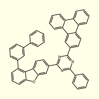 c1ccc(-c2cccc(-c3cccc4oc5cc(-c6nc(-c7ccccc7)nc(-c7ccc8c9ccccc9c9ccccc9c8c7)n6)ccc5c34)c2)cc1